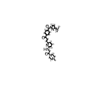 CN1CCN(C(=O)CNc2cccc(C=CC(=O)c3ccc(C(=O)n4ccc(N(C)C)n4)cc3)n2)CC1